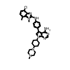 Cc1ccc(Cl)c2nc(Nc3ccc(-c4cn(C5CCC(N6CCN(C)CC6)CC5)c5ncnc(N)c45)cc3)n(C)c12